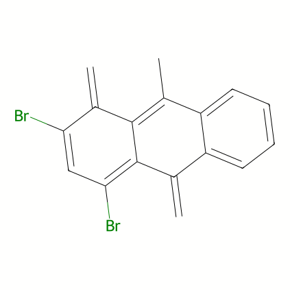 C=c1c(Br)cc(Br)c2c(=C)c3ccccc3c(C)c12